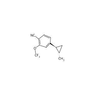 C[C@H]1C[C@@H]1c1ccc(C#N)c(OC(F)(F)F)c1